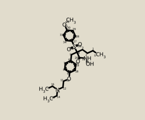 CCCCC(Cc1ccc(OCCN(CC)CC)cc1)(C(=O)NO)S(=O)(=O)c1ccc(OC)cc1